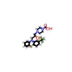 O=C(O)N1CCN(CC(O)CN2c3ccccc3Sc3ccc(C(F)(F)F)cc32)CC1